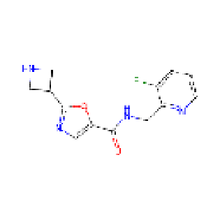 O=C(NCc1ncccc1F)c1cnc(C2CNC2)o1